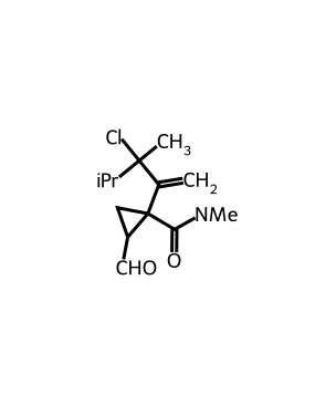 C=C(C(C)(Cl)C(C)C)C1(C(=O)NC)CC1C=O